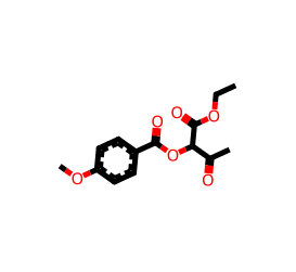 CCOC(=O)C(OC(=O)c1ccc(OC)cc1)C(C)=O